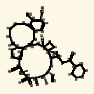 C=C[C@H]1C[C@H](OCC(=O)N2CCCCC2)[C@@H]2CC[C@H]2CN2Cc3ccc(Cl)c(F)c3CCCCOc3ccc(cc32)C(=O)NS(=O)(=O)[C@H](C)[C@H]1C